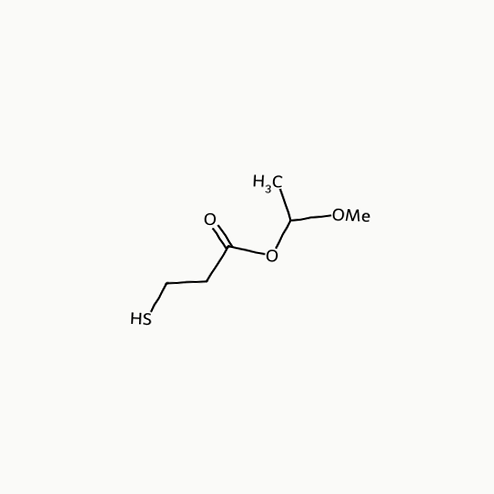 COC(C)OC(=O)CCS